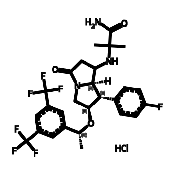 C[C@@H](O[C@H]1CN2C(=O)CC(NC(C)(C)C(N)=O)[C@H]2[C@@H]1c1ccc(F)cc1)c1cc(C(F)(F)F)cc(C(F)(F)F)c1.Cl